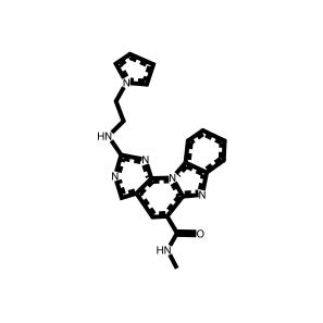 CNC(=O)c1cc2cnc(NCCn3cccc3)nc2n2c1nc1ccccc12